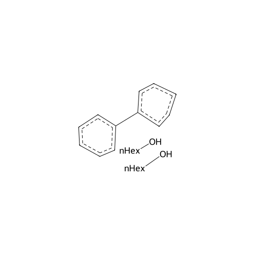 CCCCCCO.CCCCCCO.c1ccc(-c2ccccc2)cc1